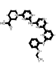 CCOc1ccccc1Oc1cccc(-c2cncc(Nc3nccc(N4CCCC(C(=O)O)C4)n3)n2)n1